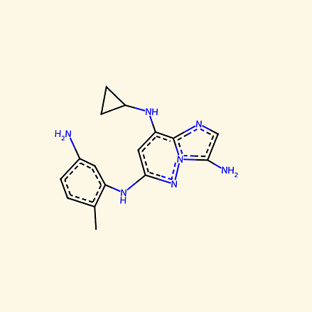 Cc1ccc(N)cc1Nc1cc(NC2CC2)c2ncc(N)n2n1